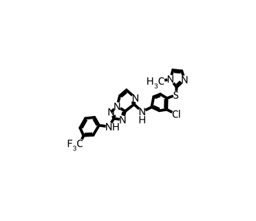 Cn1ccnc1Sc1ccc(Nc2nccn3nc(Nc4cccc(C(F)(F)F)c4)nc23)cc1Cl